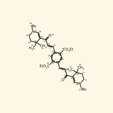 CCOC(=O)c1cc(/C=C/C(=O)C2=CN(C(C)(C)C)CCC2(C)C)c(C(=O)OCC)cc1/C=C/C(=O)C1=CN(C(C)(C)C)CCC1(C)C